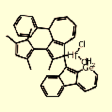 CC1=CC(C)=C(C2=C(C)[C](C3=[C]4[GeH2][CH]=CC=C4c4ccccc43)([Hf]([Cl])[Cl])C3=C2C(c2ccccc2)C=CC=C3)C1C